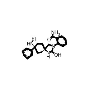 CCN[C@]1(c2ccccc2)CC[C@]2(CC1)CN(c1ccccc1C(N)=O)C(O)N2